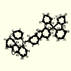 c1ccc(N(c2ccc3c(c2)sc2cc(C4(c5ccccc5)c5ccccc5-c5ccccc54)ccc23)c2cccc3oc4ccccc4c23)cc1